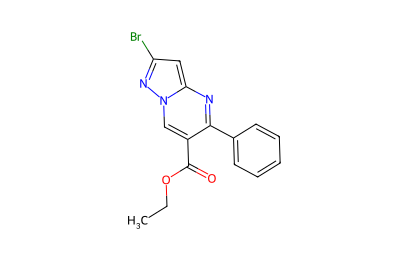 CCOC(=O)c1cn2nc(Br)cc2nc1-c1ccccc1